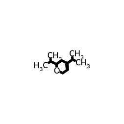 CC(C)C1=CCOC(C(C)C)C1